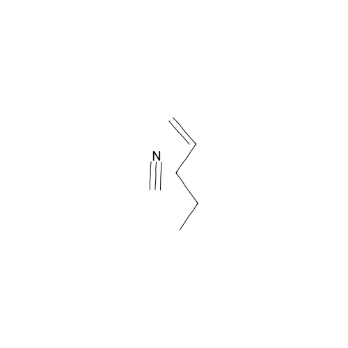 C#N.C=CCCC